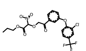 CCCOC(=O)C(OCC(=O)c1cccc(Oc2ccc(C(F)(F)F)cc2Cl)c1)[N+](=O)[O-]